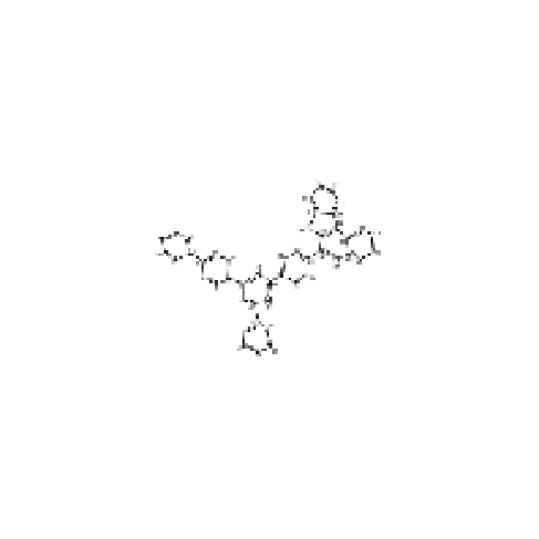 c1ccc(-c2ccc(-c3cc(-c4ccccc4)nc(-c4ccc(-c5nc6ccccc6c6c5sc5ccccc56)cc4)n3)cc2)cc1